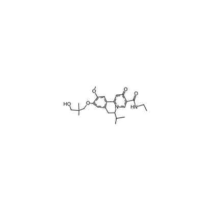 CCNC(=O)c1cn2c(cc1=O)-c1cc(OC)c(OCC(C)(C)CO)cc1CC2C(C)C